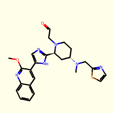 COc1nc2ccccc2cc1-c1cnc([C@@H]2C[C@@H](N(C)Cc3nccs3)CCN2CC=O)[nH]1